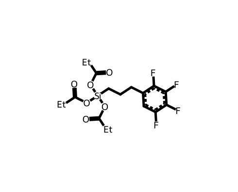 CCC(=O)O[Si](CCCc1cc(F)c(F)c(F)c1F)(OC(=O)CC)OC(=O)CC